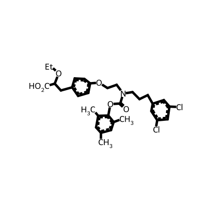 CCOC(Cc1ccc(OCCN(CCCc2cc(Cl)cc(Cl)c2)C(=O)Oc2c(C)cc(C)cc2C)cc1)C(=O)O